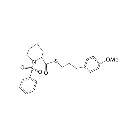 COc1ccc(CCCSC(=O)C2CCCCN2S(=O)(=O)c2ccccc2)cc1